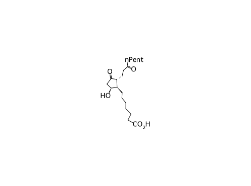 CCCCCC(=O)CC[C@H]1C(=O)C[C@H](O)[C@@H]1CCCCCCC(=O)O